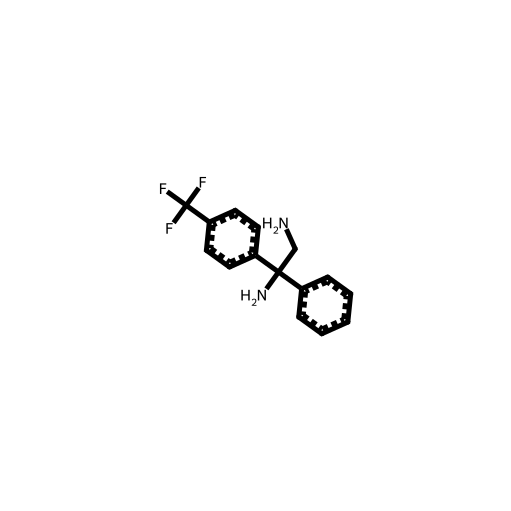 NCC(N)(c1ccccc1)c1ccc(C(F)(F)F)cc1